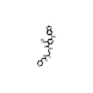 CC(C)Nc1cc(Nc2ccc3ncsc3c2)ncc1C(=O)NCC[C@@H](C)NC(=O)CC1CCOCC1